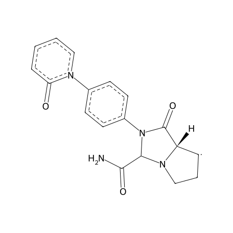 NC(=O)C1N(c2ccc(-n3ccccc3=O)cc2)C(=O)[C@@H]2[CH]CCN12